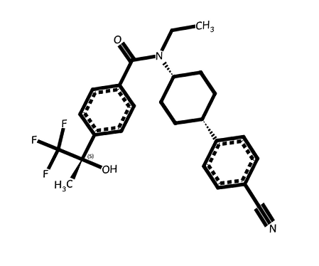 CCN(C(=O)c1ccc([C@](C)(O)C(F)(F)F)cc1)[C@H]1CC[C@@H](c2ccc(C#N)cc2)CC1